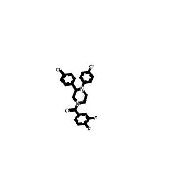 O=C(c1ccc(F)c(F)c1)N1CCN(c2ccc(Cl)cc2)C(c2ccc(Cl)cc2)C1